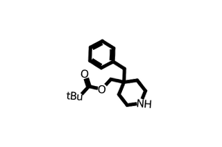 CC(C)(C)C(=O)OCC1(Cc2ccccc2)CCNCC1